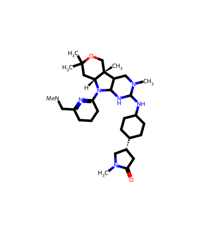 CNCC1=[N+]=C(N2C3NC(NC4CCC([C@@H]5CC(=O)N(C)C5)CC4)N(C)CC3[C@@]3(C)COC(C)(C)C[C@@H]23)CCC1